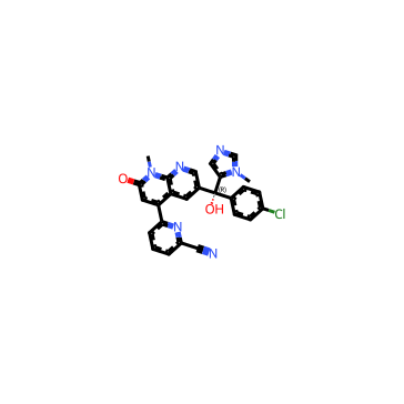 Cn1cncc1[C@@](O)(c1ccc(Cl)cc1)c1cnc2c(c1)c(-c1cccc(C#N)n1)cc(=O)n2C